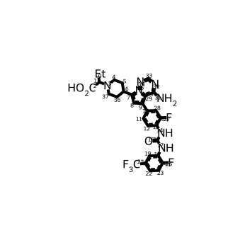 CCC(C(=O)O)N1CCC(c2cc(-c3ccc(NC(=O)Nc4cc(C(F)(F)F)ccc4F)c(F)c3)c3c(N)ncnn23)CC1